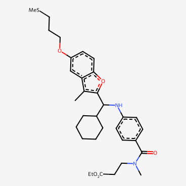 CCOC(=O)CCN(C)C(=O)c1ccc(NC(c2oc3ccc(OCCCSC)cc3c2C)C2CCCCC2)cc1